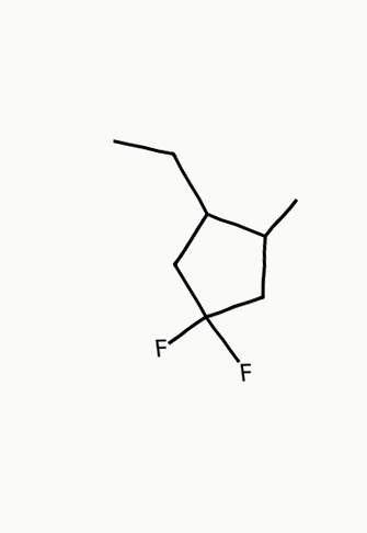 CCC1CC(F)(F)CC1C